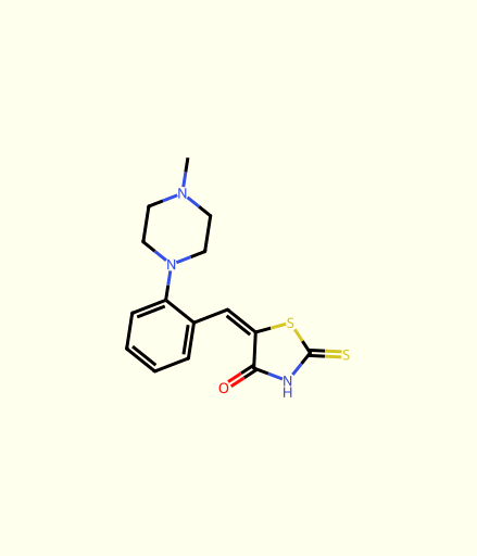 CN1CCN(c2ccccc2C=C2SC(=S)NC2=O)CC1